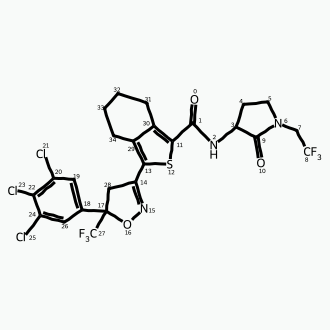 O=C(NC1CCN(CC(F)(F)F)C1=O)c1sc(C2=NOC(c3cc(Cl)c(Cl)c(Cl)c3)(C(F)(F)F)C2)c2c1CCCC2